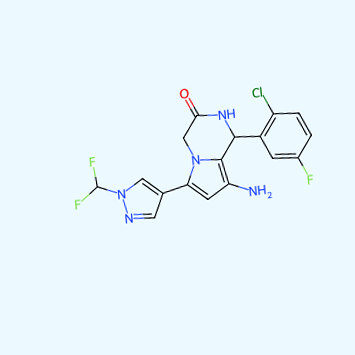 Nc1cc(-c2cnn(C(F)F)c2)n2c1C(c1cc(F)ccc1Cl)NC(=O)C2